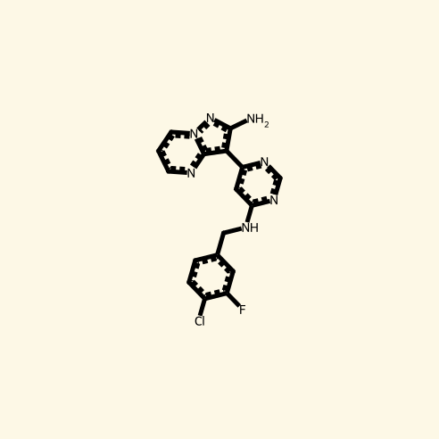 Nc1nn2cccnc2c1-c1cc(NCc2ccc(Cl)c(F)c2)ncn1